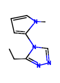 CCc1nncn1-c1cccn1C